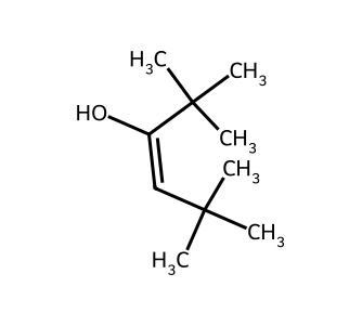 CC(C)(C)/C=C(/O)C(C)(C)C